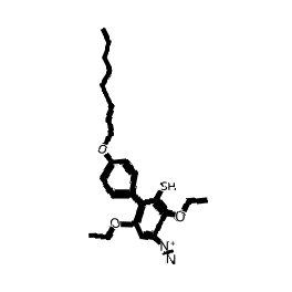 CCCCCCCCOc1ccc(-c2c(OCC)cc([N+]#N)c(OCC)c2S)cc1